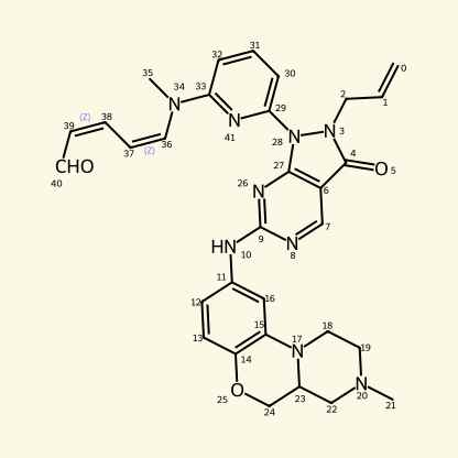 C=CCn1c(=O)c2cnc(Nc3ccc4c(c3)N3CCN(C)CC3CO4)nc2n1-c1cccc(N(C)/C=C\C=C/C=O)n1